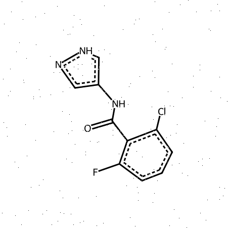 O=C(Nc1cn[nH]c1)c1c(F)cccc1Cl